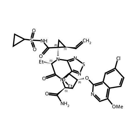 C=C[C@@H]1C[C@@]1(C(=O)NS(=O)(=O)C1CC1)N(c1nsnc1OCC)[C@@H](CC)C(=O)N1C[C@H](Oc2ncc(OC)c3ccc(Cl)cc23)C[C@H]1C(N)=O